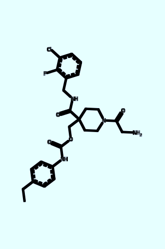 CCc1ccc(NC(=O)OCC2(C(=O)NCc3cccc(Cl)c3F)CCN(C(=O)CN)CC2)cc1